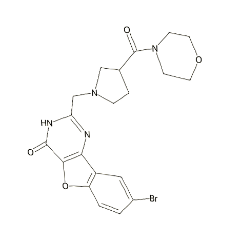 O=C(C1CCN(Cc2nc3c(oc4ccc(Br)cc43)c(=O)[nH]2)C1)N1CCOCC1